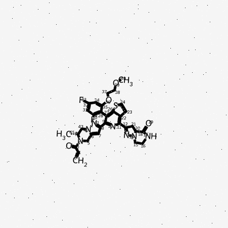 C=CC(=O)N1Cc2cc(-c3nc(C4=NN5CCNC(=O)C5C4)c4ccsc4c3-c3c(F)cc(F)cc3OCCOC)nn2C[C@H]1C